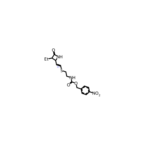 CCC1C(=O)NC1/C=C/SCCNC(=O)OCc1ccc([N+](=O)[O-])cc1